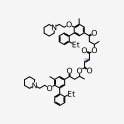 CCc1ccccc1-c1cc(C(=O)CC(C)OC(=O)/C=C/C(=O)OC(C)CC(=O)c2cc(C)c(OCCN3CCCCC3)c(-c3ccccc3CC)c2)cc(C)c1OCCN1CCCCC1